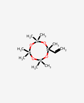 C=C[Si]1(C)O[Si](C)(C)O[Si](C)(C)O[Si](C)(C)O1